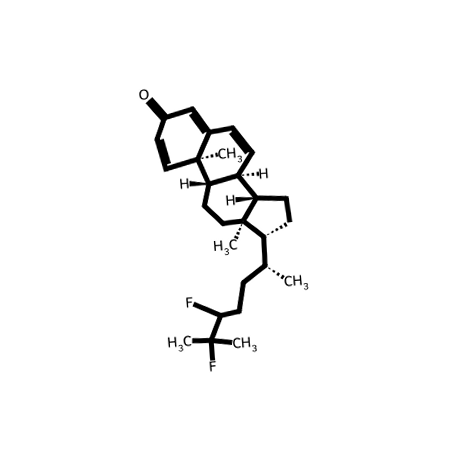 C[C@H](CCC(F)C(C)(C)F)[C@H]1CC[C@H]2[C@@H]3C=CC4=CC(=O)C=C[C@]4(C)[C@H]3CC[C@]12C